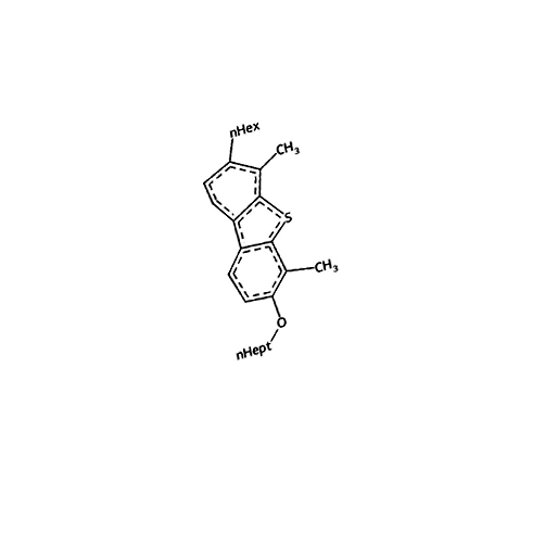 CCCCCCCOc1ccc2c(sc3c(C)c(CCCCCC)ccc32)c1C